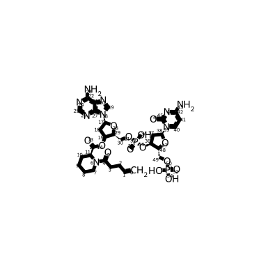 C=CCCC(=O)N1CCCC[C@H]1C(=O)OC1C[C@H](n2cnc3c(N)ncnc32)O[C@@H]1COP(=O)(O)O[C@H]1C[C@H](n2ccc(N)nc2=O)O[C@@H]1COP(=O)(O)O